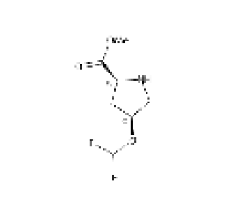 COC(=O)[C@@H]1C[C@H](OC(F)F)CN1